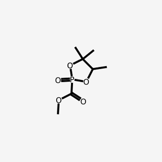 COC(=O)P1(=O)OC(C)C(C)(C)O1